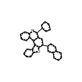 c1ccc(-c2nc3ccccc3c3c2cc(-c2ccc4ccccc4c2)c2oc4ccccc4c23)cc1